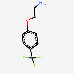 NCCOc1ccc(C(F)(F)F)cc1